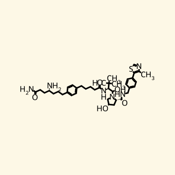 Cc1ncsc1-c1ccc(CNC(=O)[C@@H]2C[C@@H](O)CN2C(O)[C@@H](NC(=O)CCCCc2ccc(CCC[C@@H](N)CCC(N)=O)cc2)C(C)(C)C)cc1